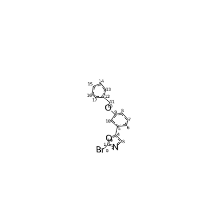 Brc1ncc(-c2cccc(OCc3ccccc3)c2)o1